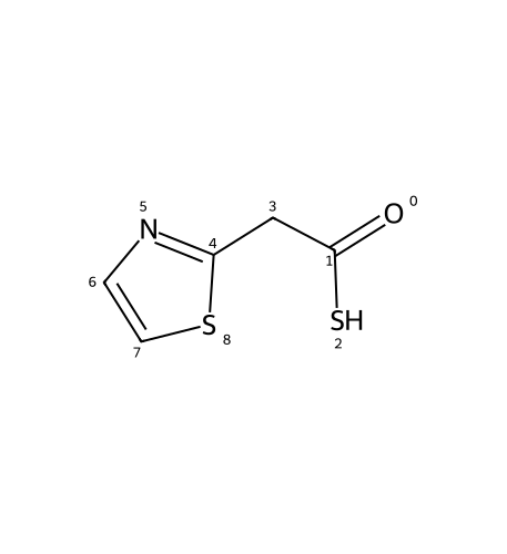 O=C(S)Cc1nccs1